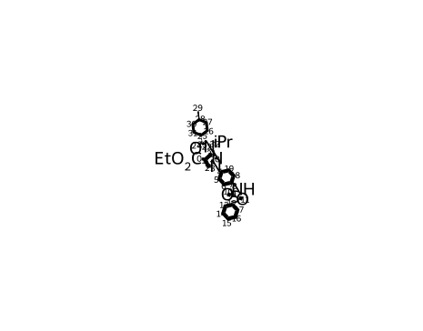 CCOC(=O)c1cn(-c2ccc(NS(=O)(=O)c3ccccc3)cc2)nc1N(C(=O)[C@H]1CC[C@H](C)CC1)C(C)C